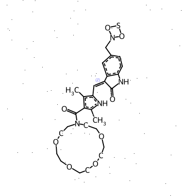 Cc1[nH]c(/C=C2\C(=O)Nc3ccc(CN4OSO4)cc32)c(C)c1C(=O)N1CCOCCOCCOCCOCC1